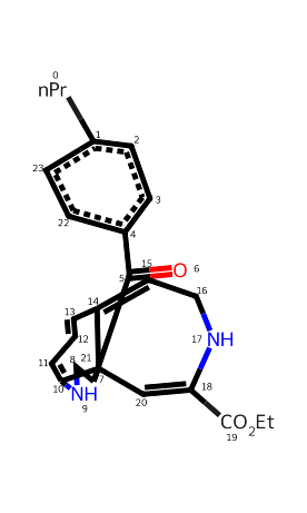 CCCc1ccc(C(=O)C2CNC3=CC=CC4=CCNC(C(=O)OCC)=CC432)cc1